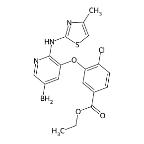 Bc1cnc(Nc2nc(C)cs2)c(Oc2cc(C(=O)OCC)ccc2Cl)c1